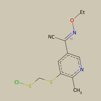 CCO/N=C(\C#N)c1cnc(C)c(SCSCl)c1